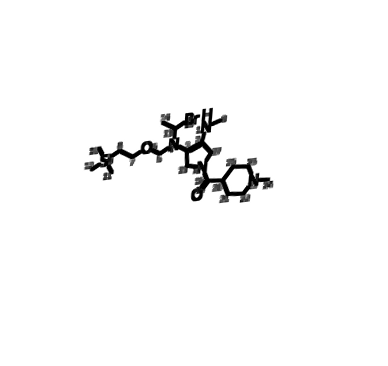 CNC1=C(N(COCC[Si](C)(C)C)C(C)Br)CN(C(=O)C2CCN(C)CC2)C1